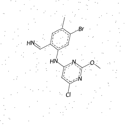 COc1nc(Cl)cc(Nc2cc(Br)c(C)cc2C=N)n1